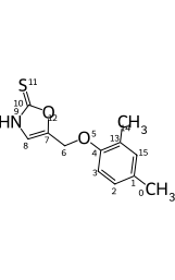 Cc1ccc(OCc2c[nH]c(=S)o2)c(C)c1